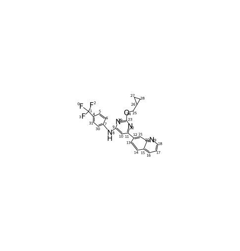 FC(F)(F)c1ccc(Nc2cc(-c3ccc4cccnc4c3)nc(OCC3CC3)n2)cc1